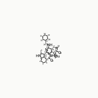 Cc1[nH]c2cccc(C(N)=O)c2c1-c1ncc(CN(C)C(=O)OC(C)(C)C)c(NCc2ccccc2)n1